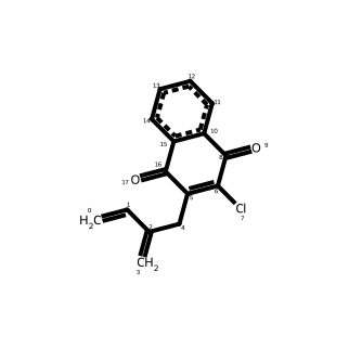 C=CC(=C)CC1=C(Cl)C(=O)c2ccccc2C1=O